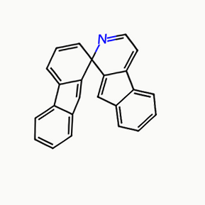 C1=CC2(N=CC=C3C2=Cc2ccccc23)C2=Cc3ccccc3C2=C1